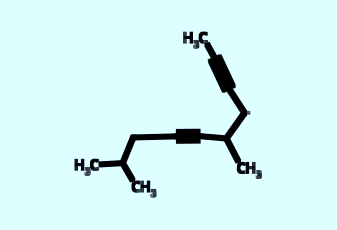 CC#C[CH]C(C)C#CCC(C)C